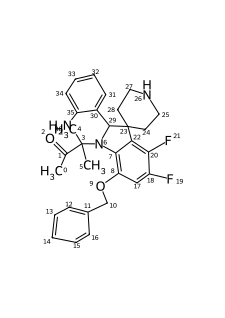 CC(=O)C(C)(C)N1c2c(OCc3ccccc3)cc(F)c(F)c2C2(CCNCC2)C1c1ccccc1N